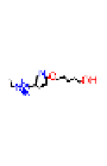 CCn1nnc(-c2ccc(OCCCCCO)nc2)n1